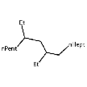 CCCCCCCCC(CC)CC(CC)CCCCC